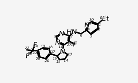 CCc1ccc(CNc2ncnc(N3CCCC3c3ccc(C(C)(F)F)cc3)c2F)nc1